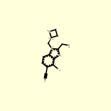 N#Cc1ccc2c(nc(CCl)n2C[C@@H]2CCO2)c1F